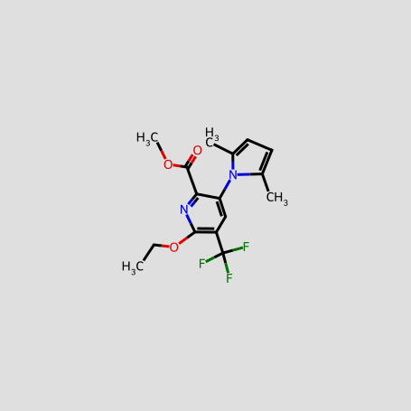 CCOc1nc(C(=O)OC)c(-n2c(C)ccc2C)cc1C(F)(F)F